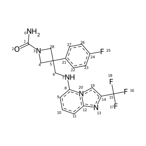 NC(=O)N1CC(CNc2cccc3nc(C(F)(F)F)cn23)(c2ccc(F)cc2)C1